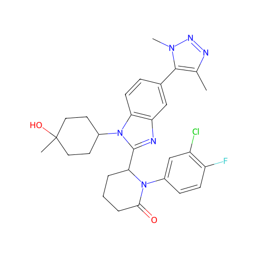 Cc1nnn(C)c1-c1ccc2c(c1)nc(C1CCCC(=O)N1c1ccc(F)c(Cl)c1)n2C1CCC(C)(O)CC1